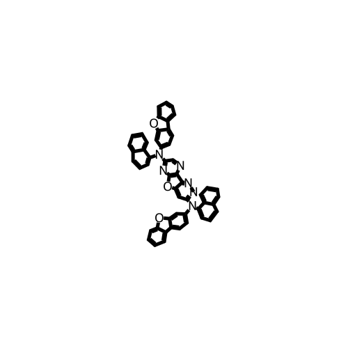 c1ccc2c(N(c3ccc4c(c3)oc3ccccc34)c3cc4oc5nc(N(c6ccc7c(c6)oc6ccccc67)c6cccc7ccccc67)cnc5c4nn3)cccc2c1